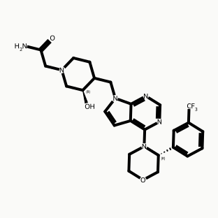 NC(=O)CN1CCC(Cn2ccc3c(N4CCOC[C@H]4c4cccc(C(F)(F)F)c4)ncnc32)[C@@H](O)C1